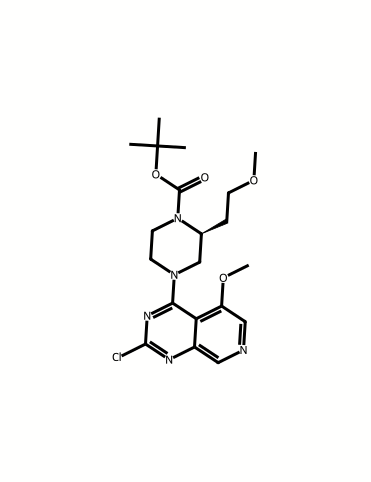 COCC[C@H]1CN(c2nc(Cl)nc3cncc(OC)c23)CCN1C(=O)OC(C)(C)C